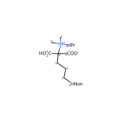 CCCCCCCCCCCCC(C(=O)[O-])(C(=O)O)[N+](C)(C)C(C)C